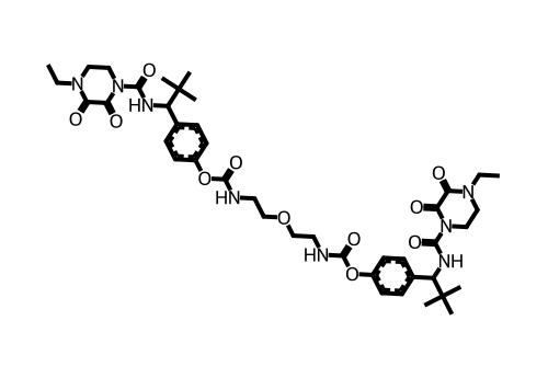 CCN1CCN(C(=O)NC(c2ccc(OC(=O)NCCOCCNC(=O)Oc3ccc(C(NC(=O)N4CCN(CC)C(=O)C4=O)C(C)(C)C)cc3)cc2)C(C)(C)C)C(=O)C1=O